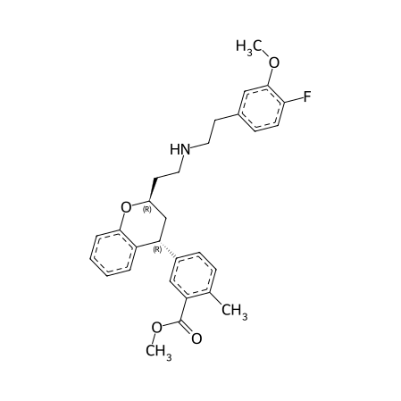 COC(=O)c1cc([C@H]2C[C@H](CCNCCc3ccc(F)c(OC)c3)Oc3ccccc32)ccc1C